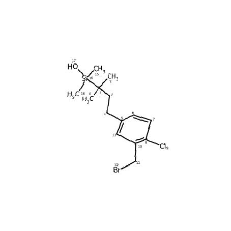 CC(C)(CCc1ccc(Cl)c(CBr)c1)[Si](C)(C)O